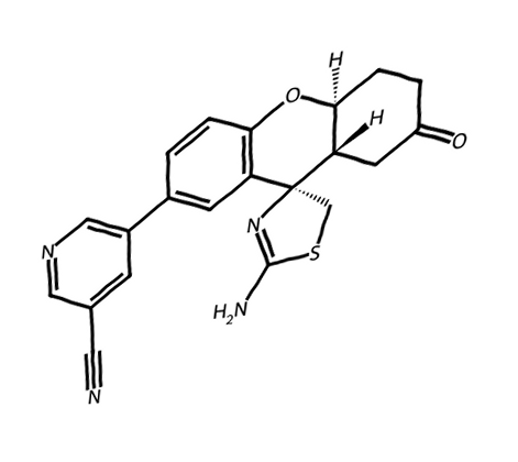 N#Cc1cncc(-c2ccc3c(c2)[C@@]2(CSC(N)=N2)[C@H]2CC(=O)CC[C@@H]2O3)c1